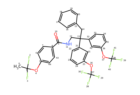 CC(F)(F)Oc1ccc(C(=O)NCC(Cc2ccccc2)(c2cccc(OC(F)(F)F)c2)c2cccc(OC(F)(F)F)c2)cc1